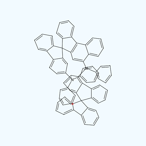 c1ccc(N(c2ccccc2)c2ccc3c(c2)C2(c4ccccc4-3)c3ccccc3-c3c2cc(N(c2ccccc2)c2cccc4c2-c2ccccc2C42c4ccccc4-c4ccccc42)c2ccccc32)cc1